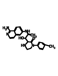 C=C(Nc1ccc2c(N)nccc2c1)C(O)C1NCCN(c2ccc(C)cc2)C1=O